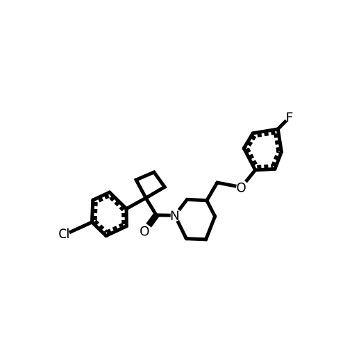 O=C(N1CCCC(COc2ccc(F)cc2)C1)C1(c2ccc(Cl)cc2)CCC1